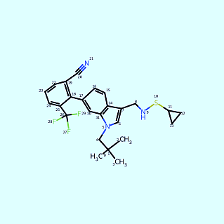 CC(C)(C)Cn1cc(CNSC2CC2)c2ccc(-c3c(C#N)cccc3C(F)(F)F)cc21